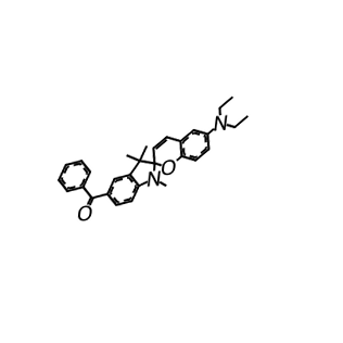 CCN(CC)c1ccc2c(c1)C=CC1(O2)N(C)c2ccc(C(=O)c3ccccc3)cc2C1(C)C